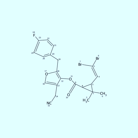 CC1(C)C(C=C(Br)Br)C1C(=O)Oc1c(CC#N)coc1Cc1ccc(F)cc1